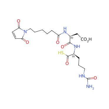 NC(=O)NCCC[C@H](NC(=O)[C@H](CC(=O)O)NC(=O)CCCCCN1C(=O)C=CC1=O)C(=O)S